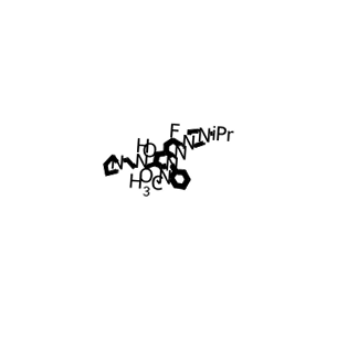 CC(C)N1CCN(c2nc3c(cc2F)c(=O)c(C(=O)NCCN2CCCC2)c2n(C)c4ccccc4n32)CC1